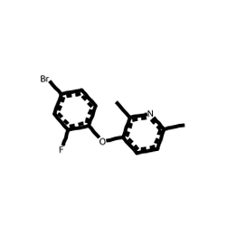 Cc1ccc(Oc2ccc(Br)cc2F)c(C)n1